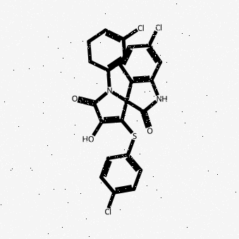 O=C1C(O)=C(Sc2ccc(Cl)cc2)C2(C(=O)Nc3cc(Cl)ccc32)N1C1=CC(Cl)=CCC1